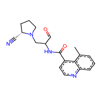 Cc1cccc2nccc(C(=O)NC(C=O)CN3CCC[C@H]3C#N)c12